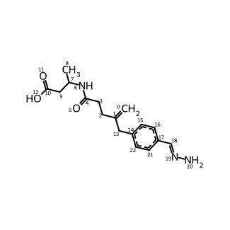 C=C(CCC(=O)NC(C)CC(=O)O)Cc1ccc(C=NN)cc1